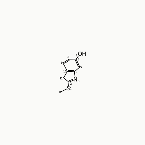 CSC1=Nc2cc(O)ccc2C1